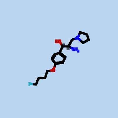 N[C@H](CN1CCCC1)[C@H](O)c1ccc(OCCCCF)cc1